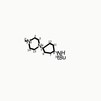 CN1CCN([C@H]2CC[C@@H](NC(C)(C)C)CC2)CC1